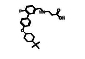 CC(C)(C)[C@H]1CC[C@H](Oc2ccc(-c3cc(CNCCC(=O)O)ccc3F)cc2)CC1